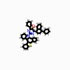 c1ccc(-c2ccc(-c3nc(-n4c5ccccc5c5c6c7ccccc7sc6c6ccccc6c54)nc4c3oc3ccccc34)c3ccccc23)cc1